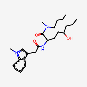 CCCCN(C)C(=O)C(CCC(O)CCC)NC(=O)Cc1cn(C)c2ccccc12